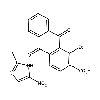 CCc1c(C(=O)O)ccc2c1C(=O)c1ccccc1C2=O.Cc1ncc([N+](=O)[O-])[nH]1